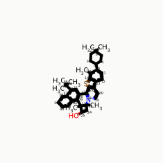 Cc1c(C2CCC(C)(C)CC2)ccc2c1sc1c3[n+](ccc12)C1(C)C=C(O)C1(C)c1c-3cc(C(C)(C)C)c2ccccc12